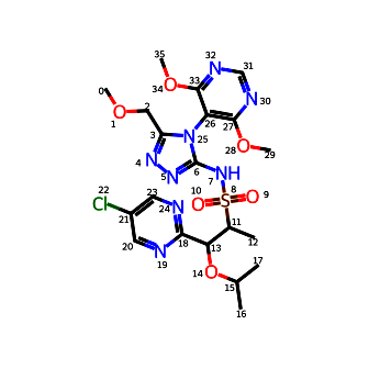 COCc1nnc(NS(=O)(=O)C(C)C(OC(C)C)c2ncc(Cl)cn2)n1-c1c(OC)ncnc1OC